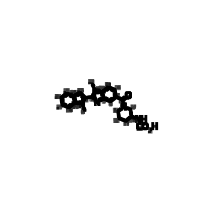 Cn1c(-c2nc3cc(C(=O)N4CCCC(NC(=O)O)C4)ccc3n2C)cc2ccccc21